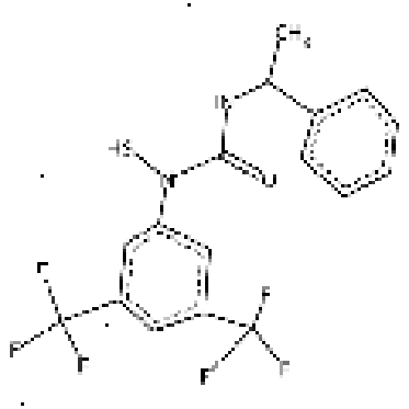 CC(NC(=O)N(S)c1cc(C(F)(F)F)cc(C(F)(F)F)c1)c1ccccc1